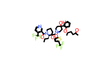 CCC[C@H]1N(C(=O)c2cnccc2C(F)(F)F)CCC[C@@]1(Oc1csc(C(F)(F)F)c1)C(=O)N1CCC(O)(c2ccccc2OC(C)CCC(C)=O)CC1